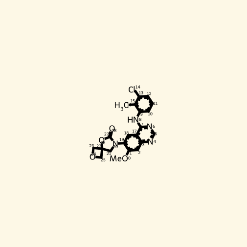 COc1cc2ncnc(Nc3cccc(Cl)c3C)c2cc1N1CC2(COC2)OC1=O